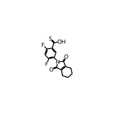 O=C1C2=C(CCCC2)C(=O)N1c1cc(C(O)=S)c(F)cc1F